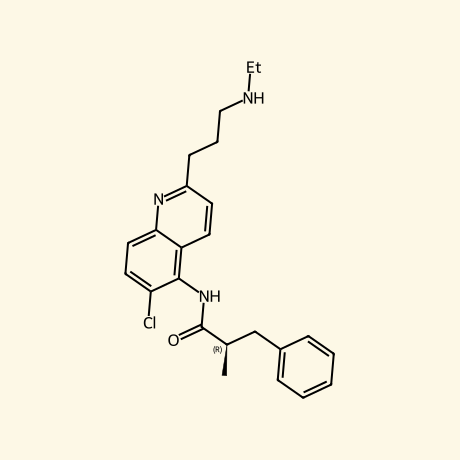 CCNCCCc1ccc2c(NC(=O)[C@H](C)Cc3ccccc3)c(Cl)ccc2n1